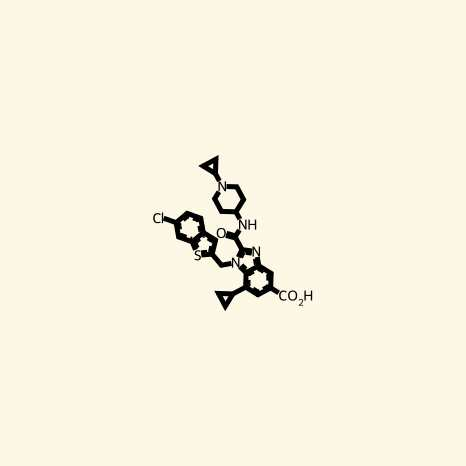 O=C(O)c1cc(C2CC2)c2c(c1)nc(C(=O)NC1CCN(C3CC3)CC1)n2Cc1cc2ccc(Cl)cc2s1